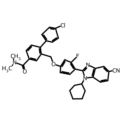 CN(C)C(=O)c1ccc(-c2ccc(Cl)cc2)c(COc2ccc(-c3nc4cc(C#N)ccc4n3C3CCCCC3)c(F)c2)c1